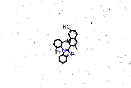 Cc1cc2ccc(C#N)cc2cc1-c1n(-c2c(C(C)C)cccc2C(C)C)c2ccccc2[n+]1C